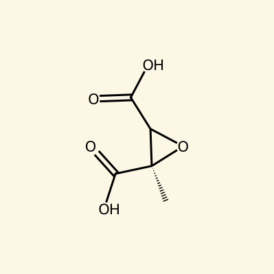 C[C@@]1(C(=O)O)OC1C(=O)O